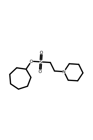 O=S(=O)(CCN1CCCCC1)OC1CCCCCC1